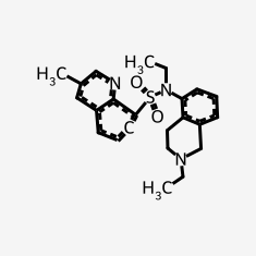 CCN1CCc2c(cccc2N(CC)S(=O)(=O)c2cccc3cc(C)cnc23)C1